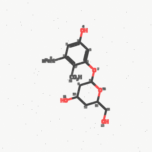 CCCCCc1cc(O)cc(OC2CC(O)CC(CO)O2)c1C(=O)O